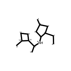 CCC1CC(C)CC1NC(C)C1CCC1C